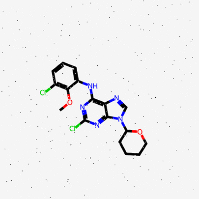 COc1c(Cl)cccc1Nc1nc(Cl)nc2c1ncn2C1CCCCO1